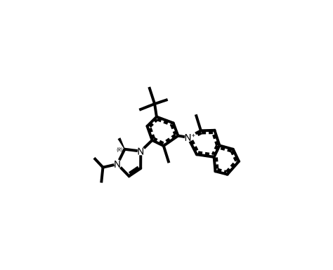 Cc1c(N2C=CN(C(C)C)[C@H]2C)cc(C(C)(C)C)cc1-[n+]1cc2ccccc2cc1C